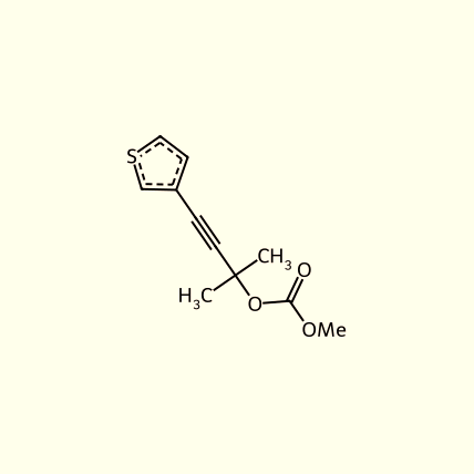 COC(=O)OC(C)(C)C#Cc1ccsc1